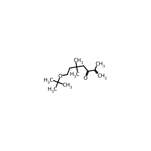 C=C(C)C(=O)CC(C)(C)CCOC(C)(C)C